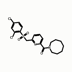 O=C(c1cccc(CS(=O)(=O)c2ccc(Cl)cc2Cl)n1)N1CCCCCCC1